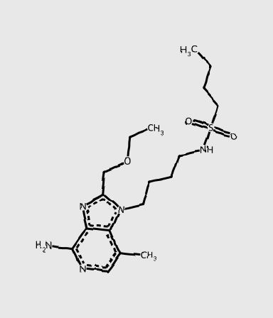 CCCCS(=O)(=O)NCCCCn1c(COCC)nc2c(N)ncc(C)c21